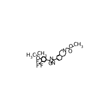 CCOC(=O)CN1CCC2=CC(c3noc(-c4ccc(OC(C)C)c(C(F)(F)F)c4)n3)=CCC2CC1